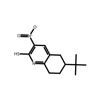 CC(C)(C)C1CCc2nc(S)c([N+](=O)[O-])cc2C1